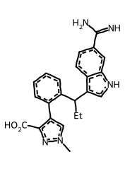 CCC(c1ccccc1-c1cn(C)nc1C(=O)O)c1c[nH]c2cc(C(=N)N)ccc12